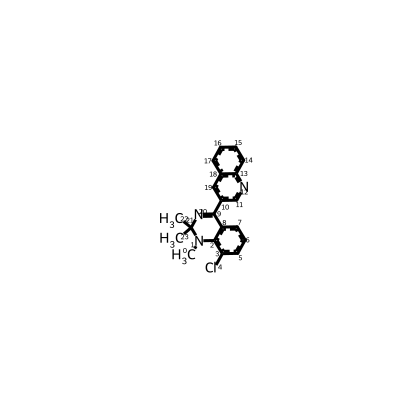 CN1c2c(Cl)cccc2C(c2cnc3ccccc3c2)=NC1(C)C